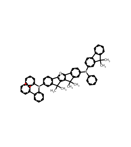 CC1(C)c2ccccc2-c2ccc(N(c3ccccc3)c3ccc4c(c3)C(C)(C)c3c-4oc4c3C(C)(C)c3cc(N(c5ccccc5)c5ccccc5-c5ccccc5)ccc3-4)cc21